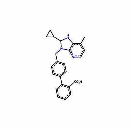 Cc1ccnc2c1NC(C1CC1)N2Cc1ccc(-c2ccccc2C(=O)O)cc1